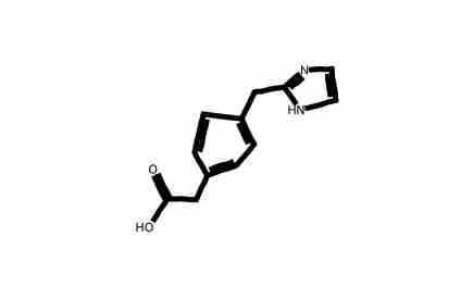 O=C(O)Cc1ccc(Cc2ncc[nH]2)cc1